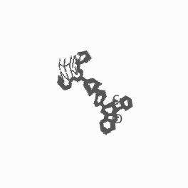 C1=CNC(c2cc(-c3ccc(-c4ccc(-c5cc6c7ccccc7oc6c6c5sc5ccccc56)cc4)cc3)cc(C3C=CC=CN3)n2)C=C1